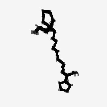 NC(CCCCCCCCC1(C=NO)CCCC1)C1CCCC1